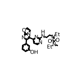 CCN(C)S(=O)(=O)N(CC)CCNc1nccc(-c2c(-c3cccc(O)c3)nc3occn23)n1